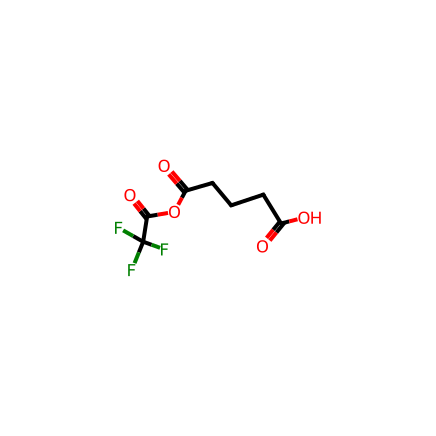 O=C(O)CCCC(=O)OC(=O)C(F)(F)F